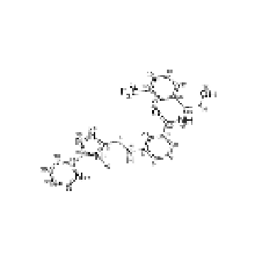 Cn1c(CNc2cccc(C(=O)NC(CO)c3cccc(C(F)(F)F)c3)c2)nnc1-c1ccncn1